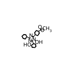 COC(=O)c1ccc(-c2nc(-c3ccccc3)nc(-c3c(O)cccc3O)n2)cc1